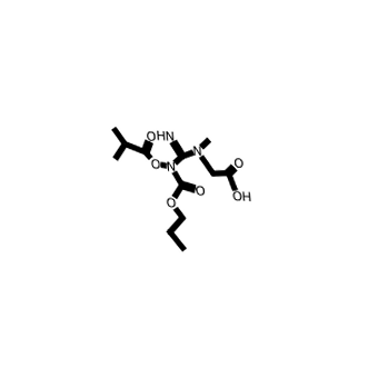 CCCOC(=O)N(OC(=O)C(C)C)C(=N)N(C)CC(=O)O